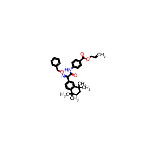 C=CCOC(=O)c1ccc(NC(=O)C(=NOCc2ccccc2)c2ccc3c(c2)C(C)(C)CCC3(C)C)cc1